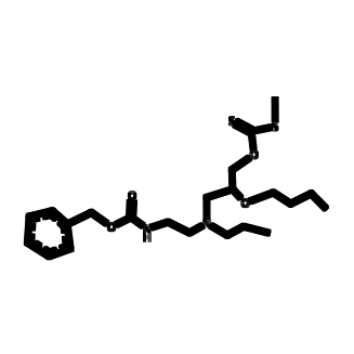 CCCCOC(COC(=S)SC)CN(CCC)CCNC(=O)OCc1ccccc1